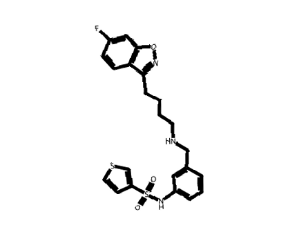 O=S(=O)(Nc1cccc(CNCCCCc2noc3cc(F)ccc23)c1)c1ccsc1